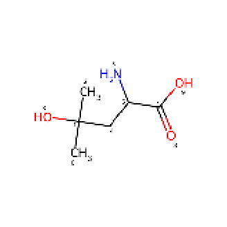 CC(C)(O)CC(N)C(=O)O